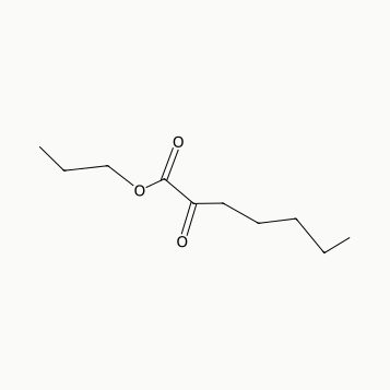 CCCCCC(=O)C(=O)OCCC